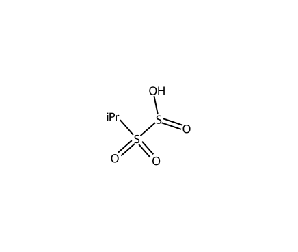 CC(C)S(=O)(=O)S(=O)O